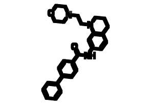 O=C(Nc1ccc2c(c1)N(CCN1CCOCC1)CCC2)c1ccc(-c2ccccc2)cc1